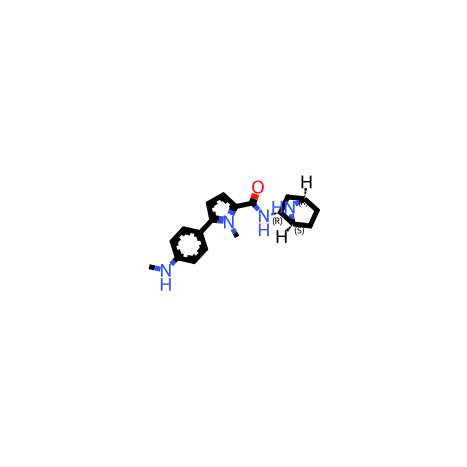 CNc1ccc(-c2ccc(C(=O)N[C@@H]3C[C@H]4CC[C@@H]3N4)n2C)cc1